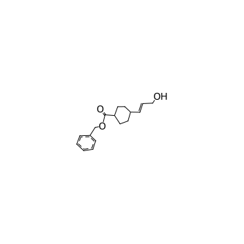 O=C(OCc1ccccc1)C1CCC(/C=C/CO)CC1